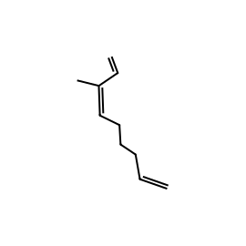 C=CCCCC=C(C)C=C